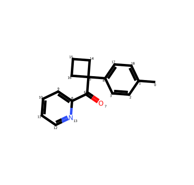 Cc1ccc(C2(C(=O)c3ccccn3)CCC2)cc1